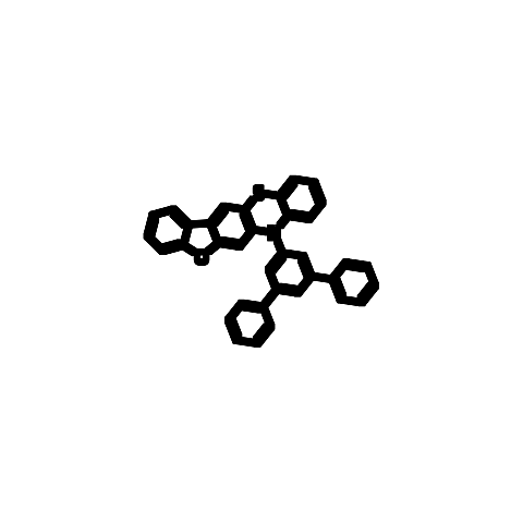 c1ccc(-c2cc(-c3ccccc3)cc(N3c4ccccc4Sc4cc5c(cc43)oc3ccccc35)c2)cc1